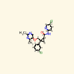 Cc1ncc(OCC2(c3cccc(Cl)c3)CC2C(=O)Nc2ccc(Cl)cn2)c(C)n1